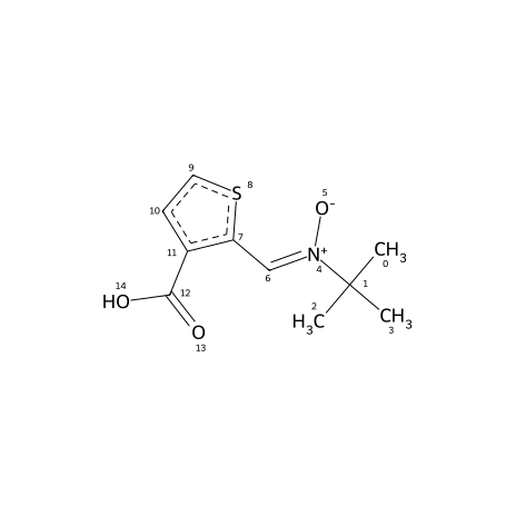 CC(C)(C)[N+]([O-])=Cc1sccc1C(=O)O